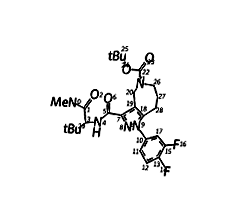 CNC(=O)C(NC(=O)c1nn(-c2ccc(F)c(F)c2)c2c1CN(C(=O)OC(C)(C)C)CCC2)C(C)(C)C